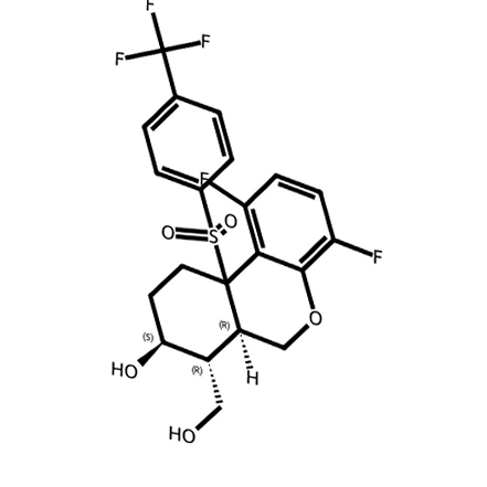 O=S(=O)(c1ccc(C(F)(F)F)cc1)C12CC[C@H](O)[C@@H](CO)[C@@H]1COc1c(F)ccc(F)c12